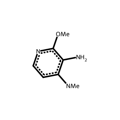 CNc1ccnc(OC)c1N